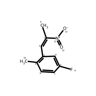 CC(=Cc1cc(F)ccc1C)[N+](=O)[O-]